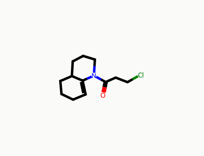 O=C(CCCl)N1CCCC2CCCC=C21